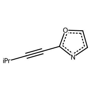 CC(C)C#Cc1ncco1